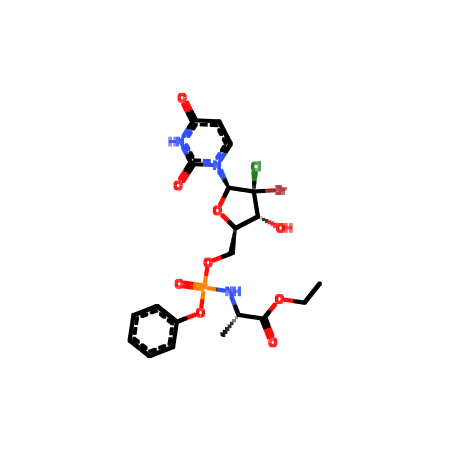 CCOC(=O)[C@H](C)NP(=O)(OC[C@H]1O[C@@H](n2ccc(=O)[nH]c2=O)[C@](Cl)(Br)[C@@H]1O)Oc1ccccc1